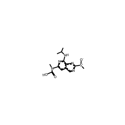 CC(C)Nc1nc(N(C)C(=O)O)cc2cnc([S+](C)[O-])nc12